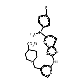 CCOC(=O)C1CCN(Cc2ccnc(Nc3nc4ccc(N(C)c5ccc(F)cc5)nc4s3)c2)CC1